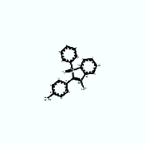 O=P1(c2ccccc2)C(c2ccc(Cl)cc2)=C(Br)c2ccccc21